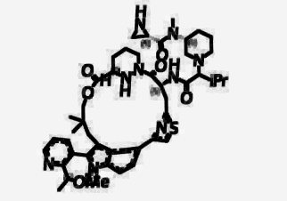 CCn1c(-c2cccnc2[C@H](C)OC)c2c3cc(ccc31)-c1csc(n1)C[C@H](NC(=O)C(C(C)C)N1CCC[C@@H](N(C)C(=O)[C@@H]3CN3)C1)C(=O)N1CCC[C@H](N1)C(=O)OCC(C)(C)C2